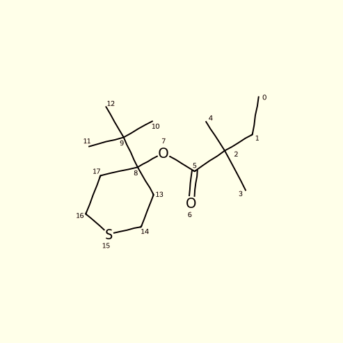 CCC(C)(C)C(=O)OC1(C(C)(C)C)CCSCC1